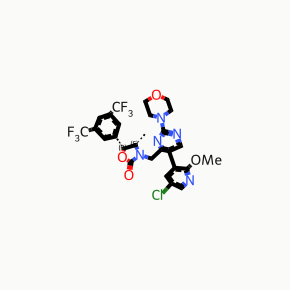 COc1ncc(Cl)cc1-c1cnc(N2CCOCC2)nc1CN1C(=O)O[C@H](c2cc(C(F)(F)F)cc(C(F)(F)F)c2)[C@@H]1C